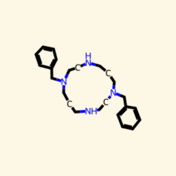 c1ccc(CN2CCCNCCN(Cc3ccccc3)CCCNCC2)cc1